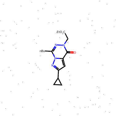 CCCCc1nn(CC(=O)OCC)c(=O)c2cc(C3CC3)nn12